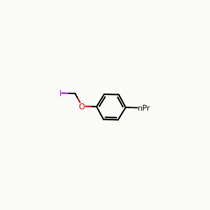 CCCc1ccc(OCI)cc1